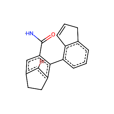 [NH]C(=O)c1cc2c(Br)c(c1-c1cccc3c1C=CC3)CC2